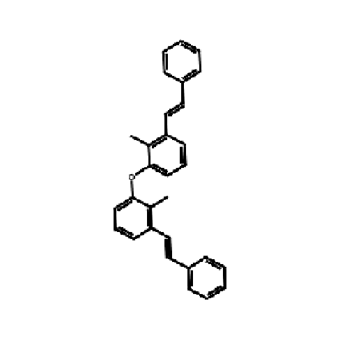 Cc1c(C=Cc2ccccc2)cccc1Oc1cccc(C=Cc2ccccc2)c1C